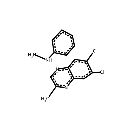 Cc1cnc2cc(Cl)c(Cl)cc2n1.NNc1ccccc1